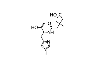 C=C(O)C(Cc1c[nH]cn1)NC(=O)CC(C)(C)CC(=O)O